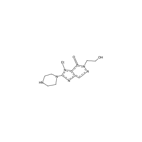 CCn1c(N2CCNCC2)nc2cnn(CCO)c(=O)c21